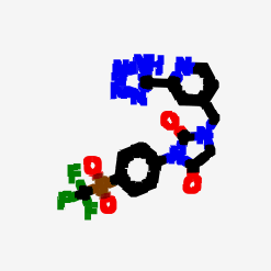 O=C1CN(Cc2ccnc(-c3nnn[nH]3)c2)C(=O)N1c1ccc(S(=O)(=O)C(F)(F)F)cc1